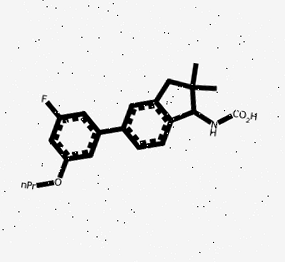 CCCOc1cc(F)cc(-c2ccc3c(c2)CC(C)(C)C3NC(=O)O)c1